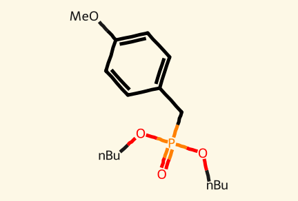 CCCCOP(=O)(Cc1ccc(OC)cc1)OCCCC